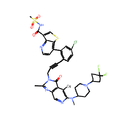 Cc1nc2cnc(N(C)C3CCN(C4CC(F)(F)C4)CC3)c(C#N)c2c(=O)n1CC#Cc1ccc(Cl)cc1-c1ccnc2c(C(=O)NS(C)(=O)=O)csc12